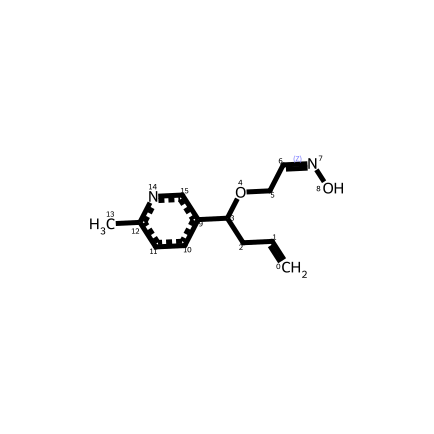 C=CCC(OC/C=N\O)c1ccc(C)nc1